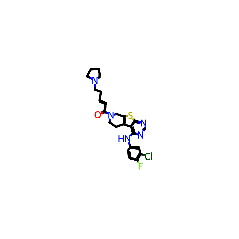 O=C(C=CCCN1CCCC1)N1CCc2c(sc3ncnc(Nc4ccc(F)c(Cl)c4)c23)C1